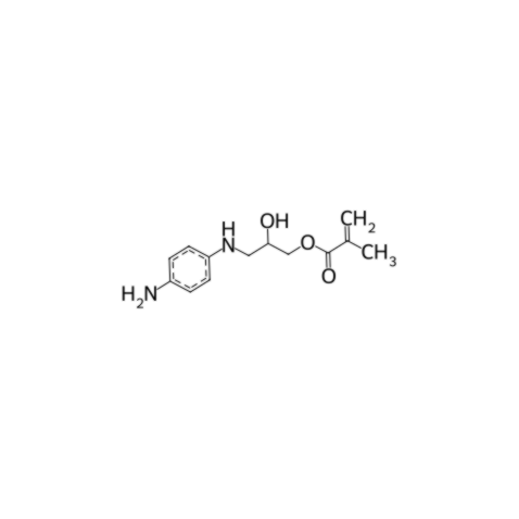 C=C(C)C(=O)OCC(O)CNc1ccc(N)cc1